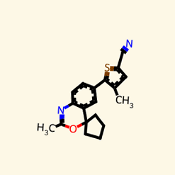 CC1=Nc2ccc(-c3sc(C#N)cc3C)cc2C2(CCCC2)O1